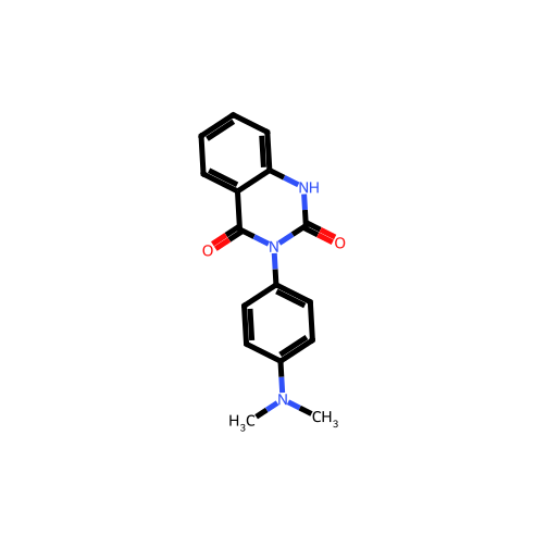 CN(C)c1ccc(-n2c(=O)[nH]c3ccccc3c2=O)cc1